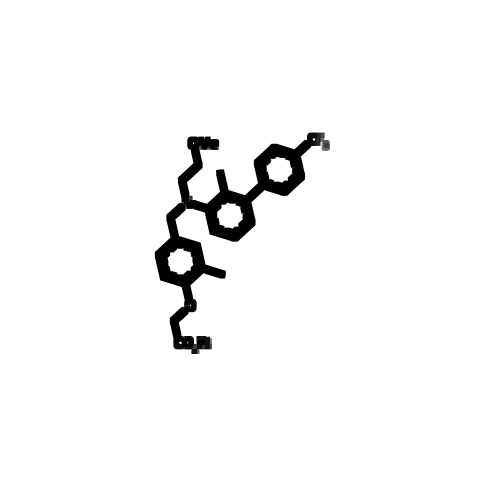 CCOC(=O)COc1ccc(CN(CCOC)c2cccc(-c3ccc(C(F)(F)F)cc3)c2C)cc1C